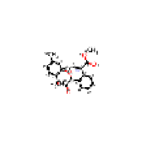 C/C=C(/C(=O)OC)c1ccccc1C(Oc1cc(C)ccc1C)C(C)=O